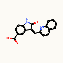 O=C1Nc2ccc(C(=O)O)cc2C1=Cc1ccc2ccccc2n1